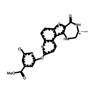 COC(=O)c1cc(Cl)nc(Oc2ccc3c(ccc4sc5c(c43)NC[C@@H](C)NC5=O)n2)c1